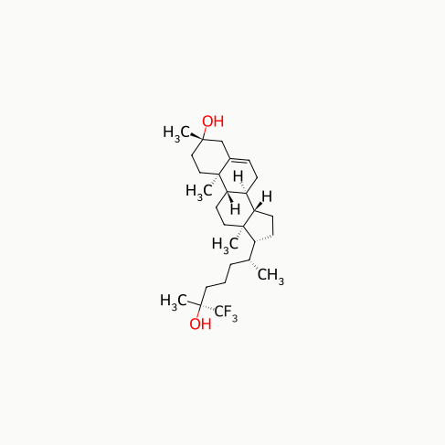 C[C@H](CCC[C@](C)(O)C(F)(F)F)[C@H]1CC[C@H]2[C@@H]3CC=C4C[C@@](C)(O)CC[C@]4(C)[C@H]3CC[C@]12C